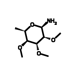 CO[C@@H]1[C@@H](OC)[C@H](C)O[C@@H](N)[C@@H]1OC